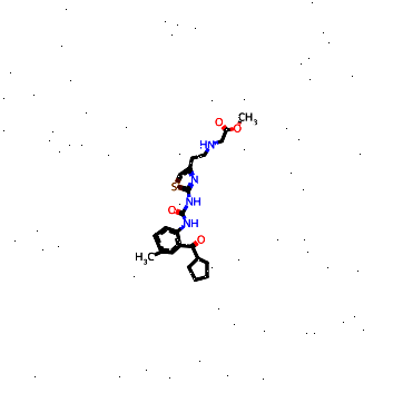 COC(=O)CNCCc1csc(NC(=O)Nc2ccc(C)cc2C(=O)C2CCCC2)n1